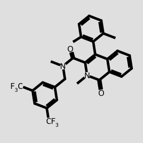 Cc1cccc(C)c1-c1c(C(=O)N(C)Cc2cc(C(F)(F)F)cc(C(F)(F)F)c2)n(C)c(=O)c2ccccc12